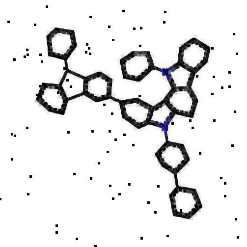 c1ccc(-c2ccc(-n3c4ccc(-c5ccc6c(c5)-c5ccccc5C6c5ccccc5)cc4c4c3ccc3c5ccccc5n(-c5ccccc5)c34)cc2)cc1